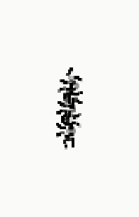 CC[Si](CC)(CC)O[Si](CC)(CC)O[Si](CC)(CC)S[Si](CC)(CC)O[Si](CC)(CC)O[Si](CC)(CC)CC